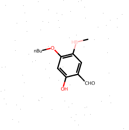 CBc1cc(C=O)c(O)cc1OCCCC